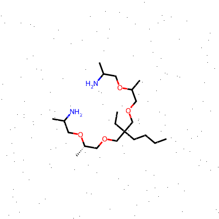 CCCCC(CC)(COCC(C)OCC(C)N)COC[C@H](C)OCC(C)N